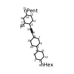 CCCCCCC1CCC(C2CCC(C#CC3CCC(CCCCC)CC3F)CC2)CC1